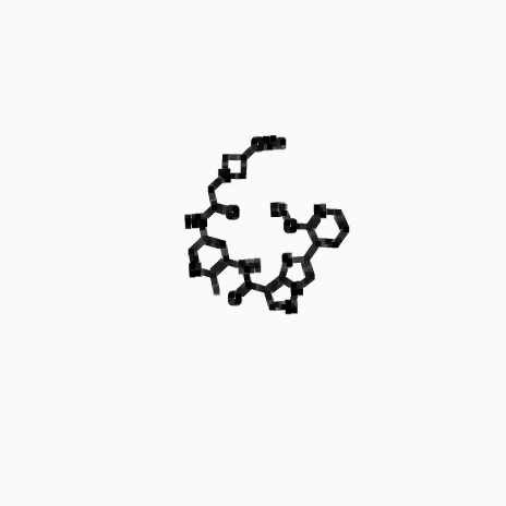 CCOc1ncccc1-c1cn2ncc(C(=O)Nc3cc(NC(=O)CN4CC(OC)C4)cnc3C)c2s1